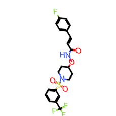 O=C(/C=C/c1ccc(F)cc1)NOC1CCN(S(=O)(=O)c2cccc(C(F)(F)F)c2)CC1